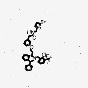 O=C(Cc1cccc(OCCCN(Cc2cccc(C(F)(F)F)c2Cl)CC(c2ccccc2)c2ccccc2)c1)NCc1ccc(Br)s1